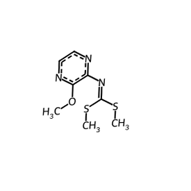 COc1nccnc1N=C(SC)SC